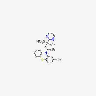 CCCc1ccc2c(c1)N(C(CCC)CC(CCC)(c1ncccn1)S(=O)(=O)O)c1ccccc1S2